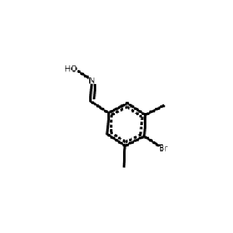 Cc1cc(/C=N/O)cc(C)c1Br